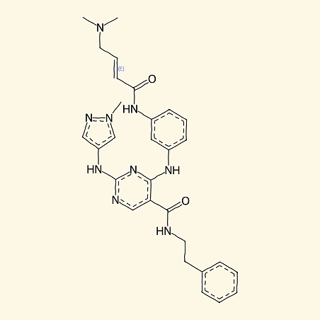 CN(C)C/C=C/C(=O)Nc1cccc(Nc2nc(Nc3cnn(C)c3)ncc2C(=O)NCCc2ccccc2)c1